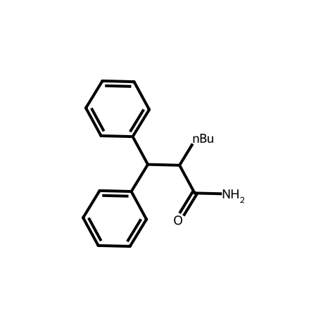 CCCCC(C(N)=O)C(c1ccccc1)c1ccccc1